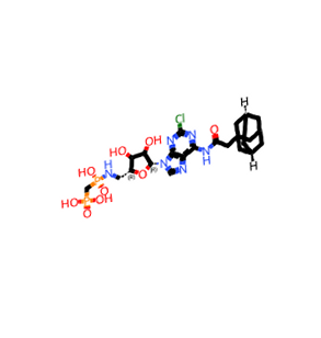 O=C(CC12CC3C[C@H](C1)C[C@H](C3)C2)Nc1nc(Cl)nc2c1ncn2[C@@H]1O[C@H](CNP(=O)(O)CP(=O)(O)O)C(O)C1O